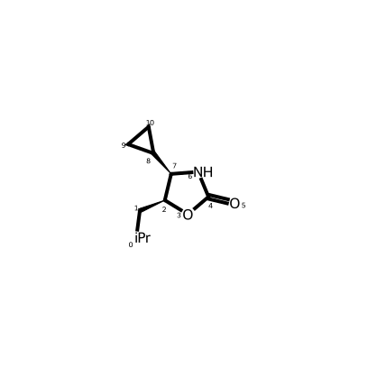 CC(C)C[C@@H]1OC(=O)N[C@@H]1C1CC1